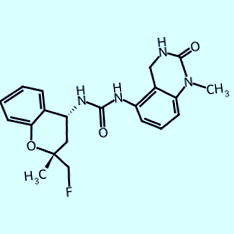 CN1C(=O)NCc2c(NC(=O)N[C@@H]3C[C@](C)(CF)Oc4ccccc43)cccc21